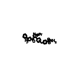 CCCn1ncc(C(=O)N2C[C@@H](c3ccccc3)C(F)(F)C2)c1C1CCN(Cc2ccc(S(N)(=O)=O)cc2)CC1